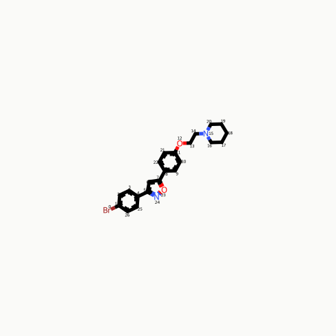 Brc1ccc(-c2cc(-c3ccc(OCCN4CCCCC4)cc3)on2)cc1